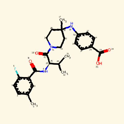 Cc1ccc(F)c(C(=O)N[C@@H](C(=O)N2CCC(C)(Nc3ccc(C(=O)O)cc3)CC2)C(C)C)c1